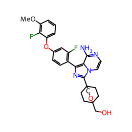 COc1cccc(Oc2ccc(-c3nc(C45CCC(CO)(CC4)OC5)n4ccnc(N)c34)c(F)c2)c1F